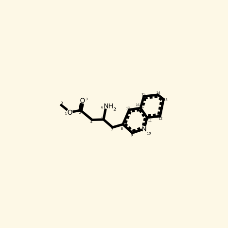 COC(=O)CC(N)Cc1cnc2ccccc2c1